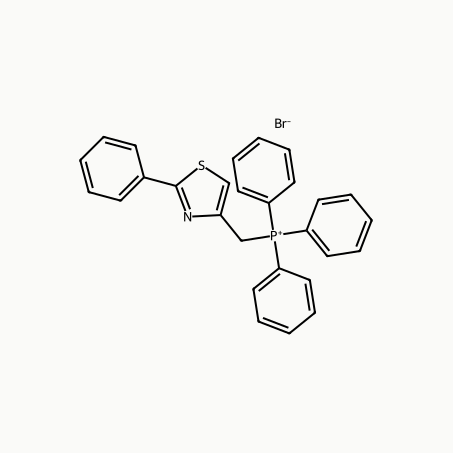 [Br-].c1ccc(-c2nc(C[P+](c3ccccc3)(c3ccccc3)c3ccccc3)cs2)cc1